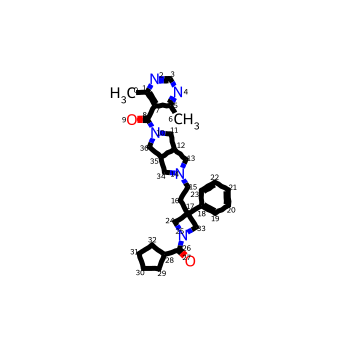 Cc1ncnc(C)c1C(=O)N1CC2CN(CCC3(c4ccccc4)CN(C(=O)C4CCCC4)C3)CC2C1